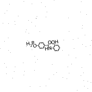 O=C(Nc1ccccc1O)c1ccc(OP)cc1